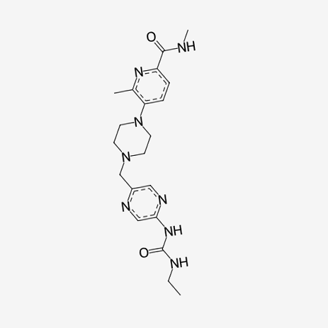 CCNC(=O)Nc1cnc(CN2CCN(c3ccc(C(=O)NC)nc3C)CC2)cn1